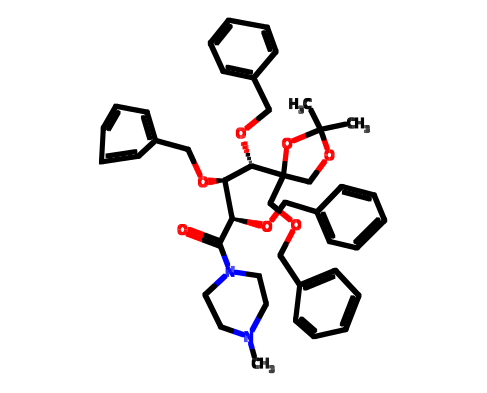 CN1CCN(C(=O)[C@H](OCc2ccccc2)[C@@H](OCc2ccccc2)[C@H](OCc2ccccc2)C2(COCc3ccccc3)COC(C)(C)O2)CC1